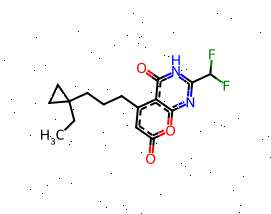 CCC1(CCCc2cc(=O)oc3nc(C(F)F)[nH]c(=O)c23)CC1